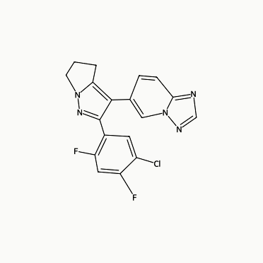 Fc1cc(F)c(-c2nn3c(c2-c2ccc4ncnn4c2)CCC3)cc1Cl